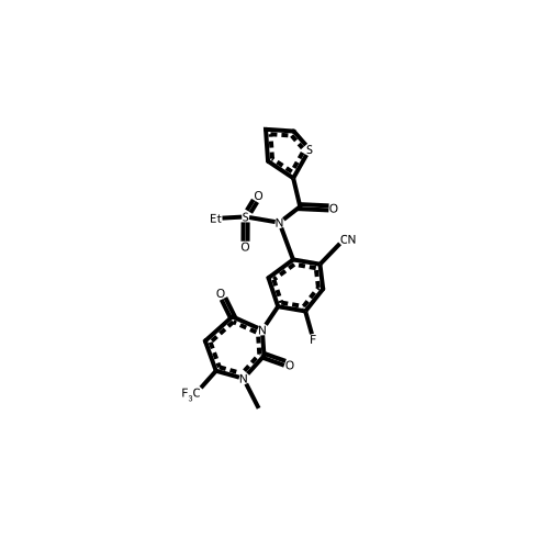 CCS(=O)(=O)N(C(=O)c1cccs1)c1cc(-n2c(=O)cc(C(F)(F)F)n(C)c2=O)c(F)cc1C#N